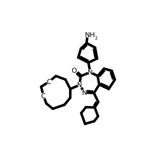 Nc1ccc(N2C(=O)N(C3CCCCCCCCC3)N=C(C=C3CCCCC3)c3ccccc32)cc1